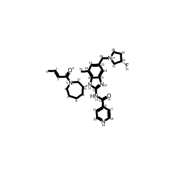 C/C=C/C(=O)N1CCCC[C@@H](n2c(NC(=O)c3ccncc3)nc3cc(CN4CC[C@H](F)C4)cc(C)c32)C1